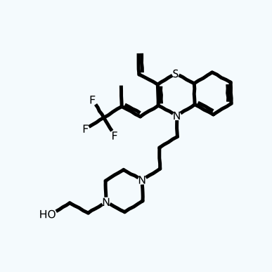 C=CC1=C(/C=C(\C)C(F)(F)F)N(CCCN2CCN(CCO)CC2)C2=CC=CCC2S1